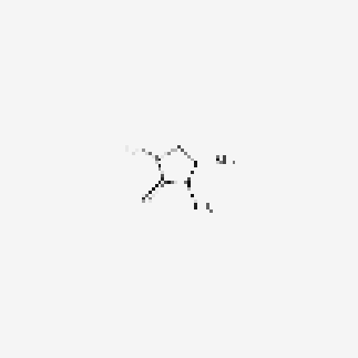 C[C@H]1CN(C)C(=O)N1C